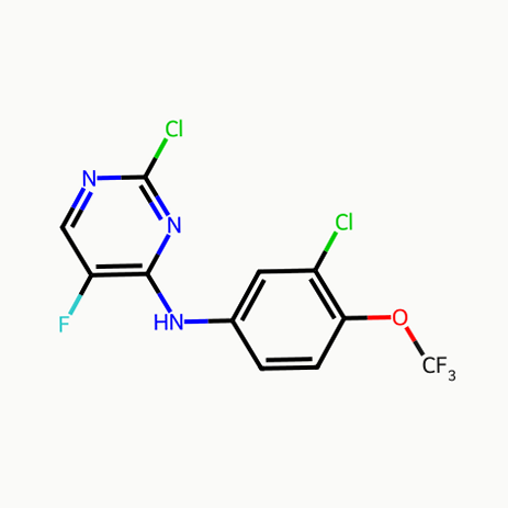 Fc1cnc(Cl)nc1Nc1ccc(OC(F)(F)F)c(Cl)c1